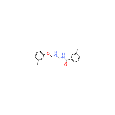 Cc1cccc(OCNCNC(=O)c2cccc(C)c2)c1